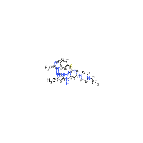 Cc1cc(Nc2cc(N3CCN(CC(F)(F)F)CC3)nc(Sc3ccc4nc(C(F)(F)F)[nH]c4c3)n2)[nH]n1